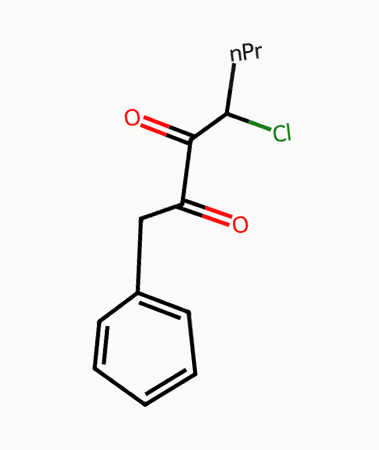 CCCC(Cl)C(=O)C(=O)Cc1ccccc1